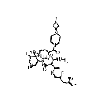 C/C=C(\CC)CC(F)/C=N\C(C)C(C(=O)NC1CNCC(F)C1(CCCC)N1CCC(C(=O)N2CCN(C3CN(C)C3)CC2)CC1)C(N)N